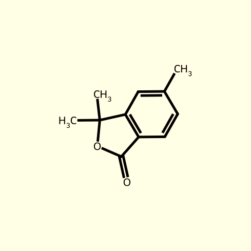 Cc1ccc2c(c1)C(C)(C)OC2=O